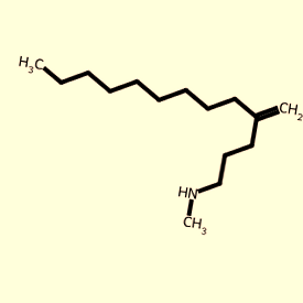 C=C(CCCCCCCCC)CCCNC